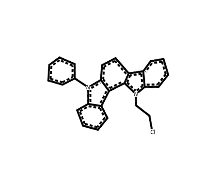 ClCCn1c2ccccc2c2ccc3c(c4ccccc4n3-c3ccccc3)c21